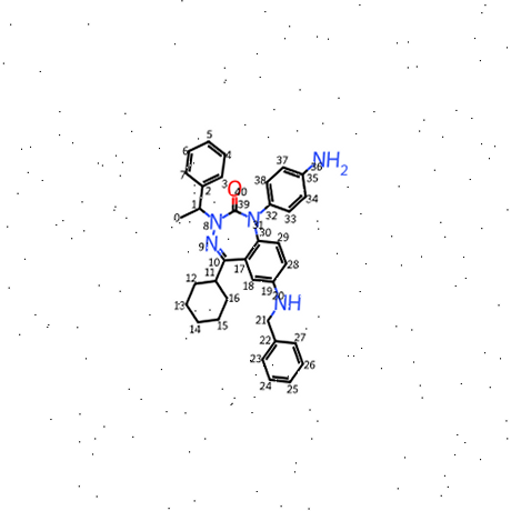 CC(c1ccccc1)N1N=C(C2CCCCC2)c2cc(NCc3ccccc3)ccc2N(c2ccc(N)cc2)C1=O